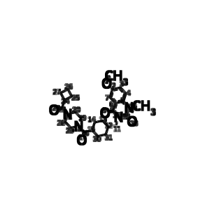 COc1ccc2c(c1)c(=O)n(C[C@H]1CC[C@H](C(=O)N3CCN(C(=O)C4CCC4)CC3)CC1)c(=O)n2C